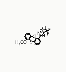 COc1cccc(Cl)c1Sc1[c]ccc(-c2noc(C(F)(F)Cl)n2)c1